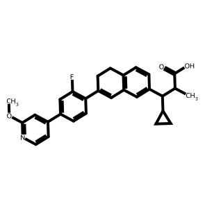 COc1cc(-c2ccc(C3=Cc4cc(C(C5CC5)C(C)C(=O)O)ccc4CC3)c(F)c2)ccn1